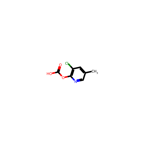 Cc1cnc(OC(=O)O)c(Cl)c1